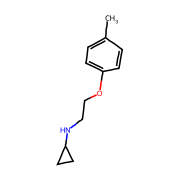 Cc1ccc(OCCNC2CC2)cc1